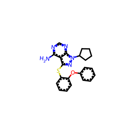 Nc1ncnc2c1c(Sc1ccccc1Oc1ccccc1)nn2C1CCCC1